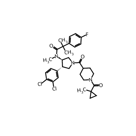 CN(C(=O)C(C)(C)c1ccc(F)cc1)[C@H]1CN(C(=O)C2CCN(C(=O)C3(C)CC3)CC2)C[C@@H]1c1ccc(Cl)c(Cl)c1